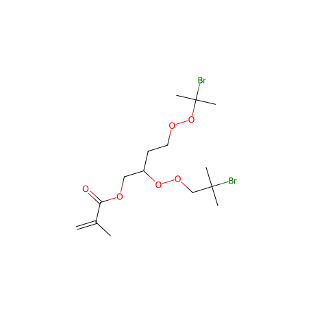 C=C(C)C(=O)OCC(CCOOC(C)(C)Br)OOCC(C)(C)Br